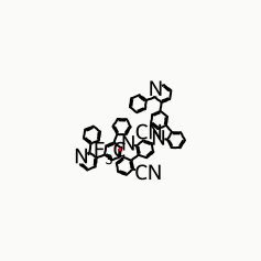 N#Cc1cccc(C(F)(F)F)c1-c1ccc(-n2c3ccccc3c3cc(-c4cccnc4-c4ccccc4)ccc32)c(C#N)c1-n1c2ccccc2c2cc(-c3cccnc3-c3ccccc3)ccc21